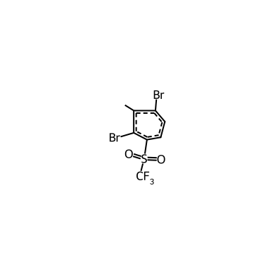 Cc1c(Br)ccc(S(=O)(=O)C(F)(F)F)c1Br